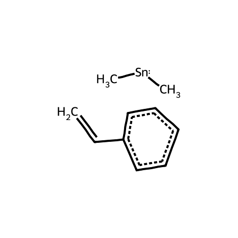 C=Cc1ccccc1.[CH3][Sn][CH3]